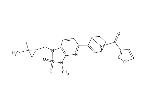 CN1c2nc(C3=CC4CCC3CN4C(=O)c3ccon3)ccc2N(CC2CC2(C)F)S1(=O)=O